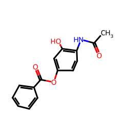 CC(=O)Nc1ccc(OC(=O)c2ccccc2)cc1O